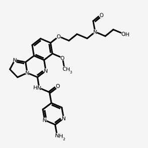 COc1c(OCCCN(C=O)CCO)ccc2c1N=C(NC(=O)c1cnc(N)nc1)N1CCN=C21